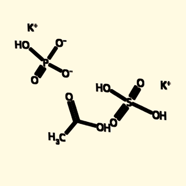 CC(=O)O.O=P([O-])([O-])O.O=S(=O)(O)O.[K+].[K+]